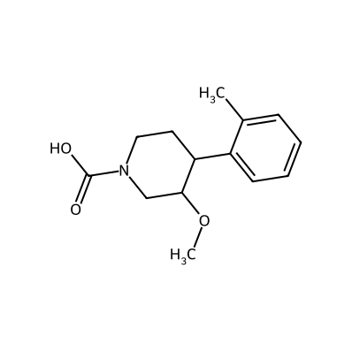 COC1CN(C(=O)O)CCC1c1ccccc1C